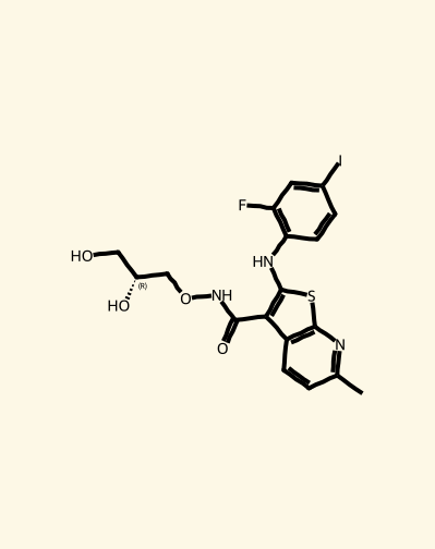 Cc1ccc2c(C(=O)NOC[C@H](O)CO)c(Nc3ccc(I)cc3F)sc2n1